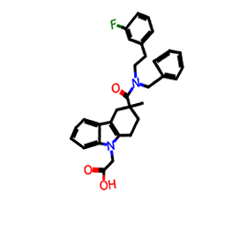 CC1(C(=O)N(CCc2cccc(F)c2)Cc2ccccc2)CCc2c(c3ccccc3n2CC(=O)O)C1